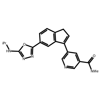 CNC(=O)c1cncc(C2=CCc3ccc(-c4nnc(NC(C)C)o4)cc32)c1